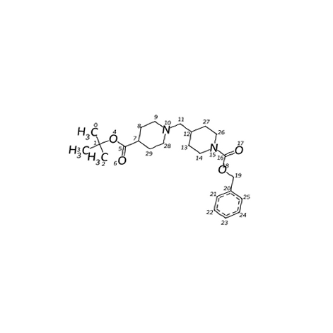 CC(C)(C)OC(=O)C1CCN(CC2CCN(C(=O)OCc3ccccc3)CC2)CC1